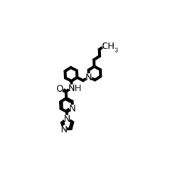 CCCCC1CCCN(CC2CCCCC2NC(=O)c2ccc(-n3ccnc3)nc2)C1